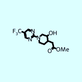 COC(=O)CC1CCN(c2ncc(C(F)(F)F)cn2)CC1O